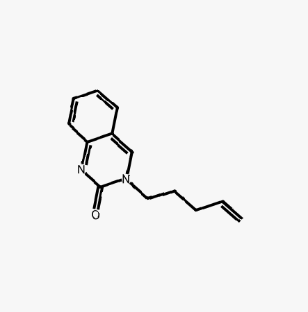 C=CCCCn1cc2ccccc2nc1=O